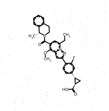 CCc1cc(C(=O)N2CCc3ccccc3[C@H]2C)c(OC)c2cc(-c3ccc([C@@H]4C[C@H]4C(=O)O)cc3F)nn12